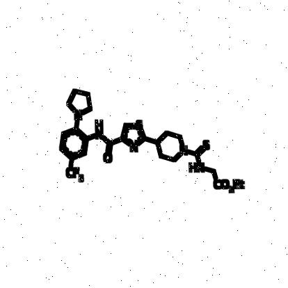 CCOC(=O)CNC(=S)N1CCC(c2nc(C(=O)Nc3cc(C(F)(F)F)ccc3N3CCCC3)cs2)CC1